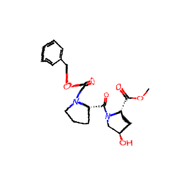 COC(=O)[C@@H]1C[C@@H](O)CN1C(=O)[C@@H]1CCCN1C(=O)OCc1ccccc1